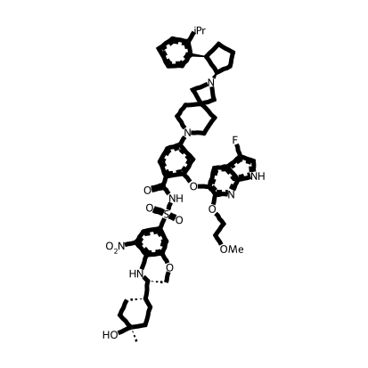 COCCOc1nc2[nH]cc(F)c2cc1Oc1cc(N2CCC3(CC2)CN([C@@H]2CCC[C@@H]2c2ccccc2C(C)C)C3)ccc1C(=O)NS(=O)(=O)c1cc2c(c([N+](=O)[O-])c1)N[C@@H]([C@H]1CC[C@](C)(O)CC1)CO2